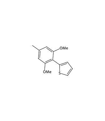 COc1cc(C)cc(OC)c1-c1cccs1